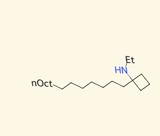 CCCCCCCCCCCCCCCC1(NCC)CCC1